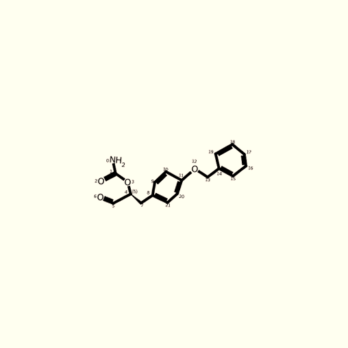 NC(=O)O[C@H](C=O)Cc1ccc(OCc2ccccc2)cc1